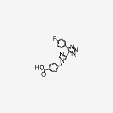 Cn1nnc(-c2ccc(F)cc2)c1-c1cn(Cc2ccc(C(=O)O)cc2)cn1